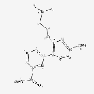 COC(=O)c1cncc(-c2ccc(OC)cc2OCCN(C)C)n1